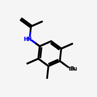 C=C(C)Nc1cc(C)c(C(C)(C)C)c(C)c1C